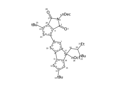 CCCCCCCCCCN1C(=O)c2c(-c3cc4c(s3)-c3sc(C(C)(C)C)cc3[Si]4(CCCCCCCC)CC(CC)CCCC)sc(C(C)(C)C)c2C1=O